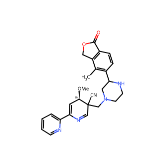 CO[C@@H]1C=C(c2ccccn2)N=CC1(C#N)CN1CCNC(c2ccc3c(c2C)COC3=O)C1